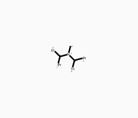 CCC(C(C)C)N(C)C(CC)C(C)C